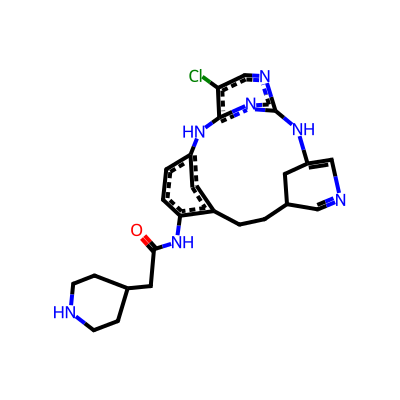 O=C(CC1CCNCC1)Nc1ccc2cc1CCC1C=NC=C(C1)Nc1ncc(Cl)c(n1)N2